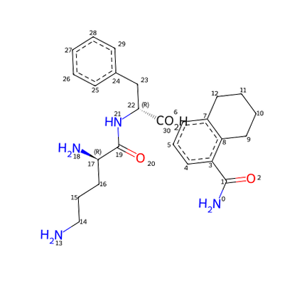 NC(=O)c1cccc2c1CCCC2.NCCC[C@@H](N)C(=O)N[C@H](Cc1ccccc1)C(=O)O